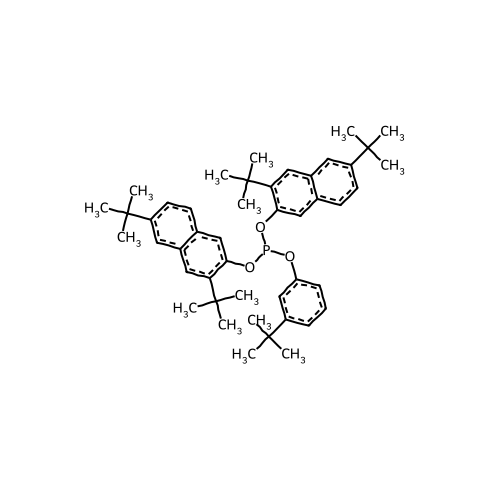 CC(C)(C)c1cccc(OP(Oc2cc3ccc(C(C)(C)C)cc3cc2C(C)(C)C)Oc2cc3ccc(C(C)(C)C)cc3cc2C(C)(C)C)c1